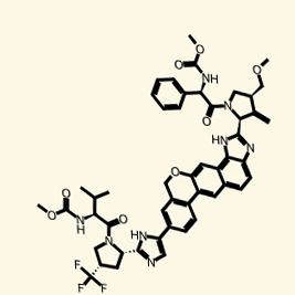 C=C1[C@H](COC)CN(C(=O)[C@H](NC(=O)OC)c2ccccc2)[C@@H]1c1nc2ccc3cc4c(cc3c2[nH]1)OCc1cc(-c2cnc([C@@H]3C[C@H](C(F)(F)F)CN3C(=O)[C@@H](NC(=O)OC)C(C)C)[nH]2)ccc1-4